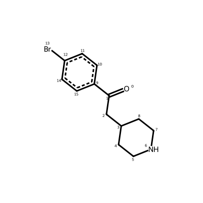 O=C(CC1CCNCC1)c1ccc(Br)cc1